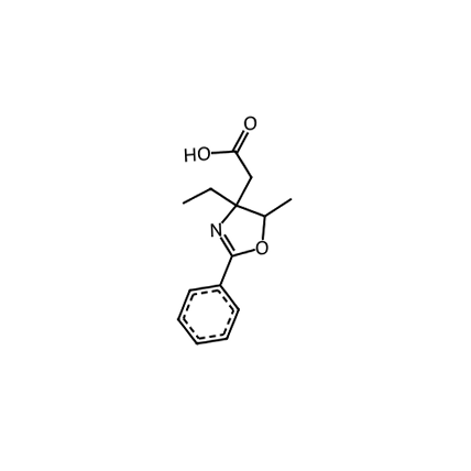 CCC1(CC(=O)O)N=C(c2ccccc2)OC1C